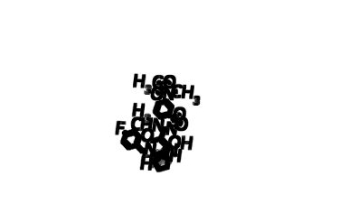 Cc1cc(CN2C(=O)C(C3=NS(=O)(=O)c4cc(N(C)S(C)(=O)=O)ccc4N3)=C(O)[C@@H]3[C@H]4CC[C@H](C4)[C@@H]32)ccc1F